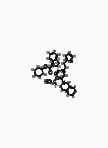 O=C(O)C[C@H]1Cc2ccccc2CN1C(=O)CN(CCc1cccs1)C(=O)[C@H]1Cc2ccccc2N1C(=O)OC1CCCCC1